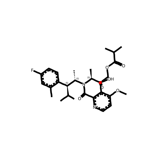 COc1ccnc(C(=O)N([C@@H](C)C(=O)O)[C@@H](C)[C@H](c2ccc(F)cc2C)C(C)C)c1OCOC(=O)C(C)C